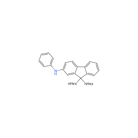 CCCCCCC1(CCCCCC)c2ccccc2-c2ccc(Nc3ccccc3)cc21